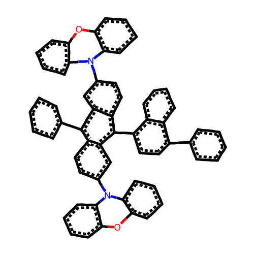 c1ccc(-c2ccc(-c3c4ccc(N5c6ccccc6Oc6ccccc65)cc4c(-c4ccccc4)c4ccc(N5c6ccccc6Oc6ccccc65)cc34)c3ccccc23)cc1